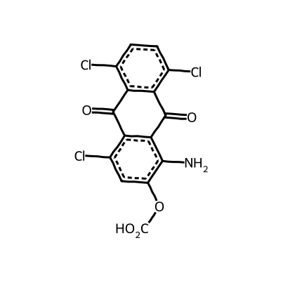 Nc1c(OC(=O)O)cc(Cl)c2c1C(=O)c1c(Cl)ccc(Cl)c1C2=O